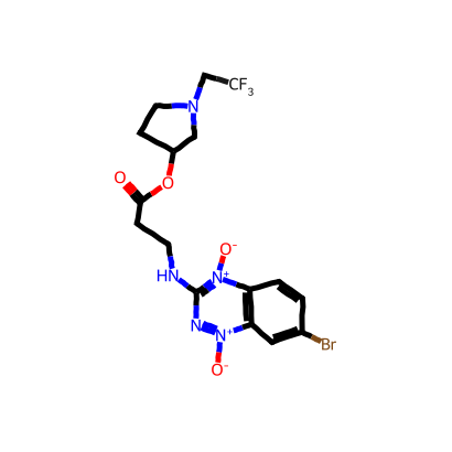 O=C(CCNc1n[n+]([O-])c2cc(Br)ccc2[n+]1[O-])OC1CCN(CC(F)(F)F)C1